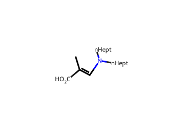 CCCCCCCN(C=C(C)C(=O)O)CCCCCCC